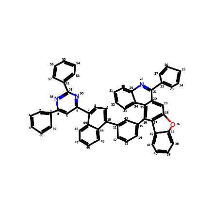 c1ccc(-c2cc(-c3ccc(-c4cccc(-c5c6c(cc7c(-c8ccccc8)nc8ccccc8c57)oc5ccccc56)c4)c4ccccc34)nc(-c3ccccc3)n2)cc1